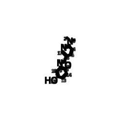 CN(C)c1ccc(-c2nc3cc(O)ccc3o2)cn1